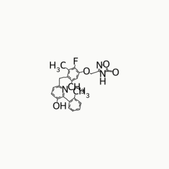 Cc1ccccc1-c1nc(Cc2c(C)cc(OCc3noc(=O)[nH]3)c(F)c2C)ccc1O